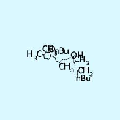 CCCC/C=C(\C)CCCC(C)(O)CCCC(C)CCc1ccc(C)c(C)c1OCCCC